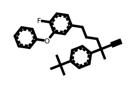 C#CC(C)(CCCc1ccc(F)c(Oc2ccccc2)c1)c1ccc(C(C)(C)C)cc1